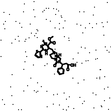 COC(=O)C1=C(CN2CCN3C(=O)N(C(CC(=O)O)c4ccccc4)C[C@@H]3C2)NC(c2nccs2)=N[C@H]1C